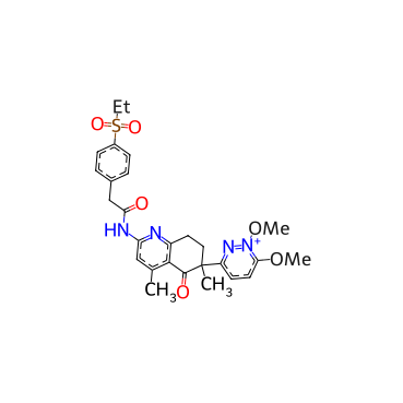 CCS(=O)(=O)c1ccc(CC(=O)Nc2cc(C)c3c(n2)CCC(C)(c2ccc(OC)[n+](OC)n2)C3=O)cc1